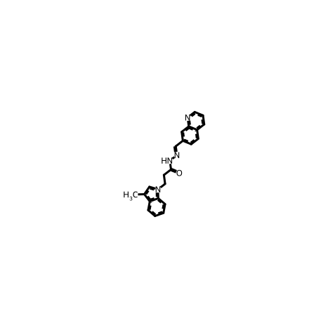 Cc1cn(CCC(=O)N/N=C/c2ccc3cccnc3c2)c2ccccc12